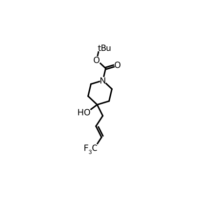 CC(C)(C)OC(=O)N1CCC(O)(CC=CC(F)(F)F)CC1